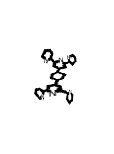 c1ccc(-c2cc(C3CCC(c4cc(-c5ccccn5)nc(-c5ccccn5)c4)CC3)cc(-c3ccccn3)n2)nc1